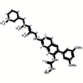 COc1cc(OC)cc(-c2cc3cnc(NC/C(N)=C/N(N)CC4CCCN(C)C4)nc3nc2NC(=O)NC(C)(C)C)c1